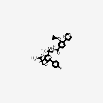 C[C@]1(C(N)=O)COc2c1cc(C(O)(CNC(=O)c1ccc(-c3ccncn3)c(OC3CC3)c1)C(F)(F)F)nc2-c1ccc(F)cc1